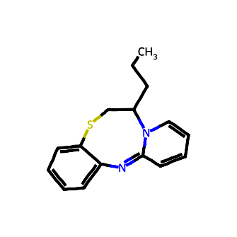 CCCC1CSc2ccccc2/N=C2/C=CC=CN21